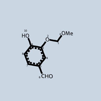 COCOc1cc(C=O)ccc1O